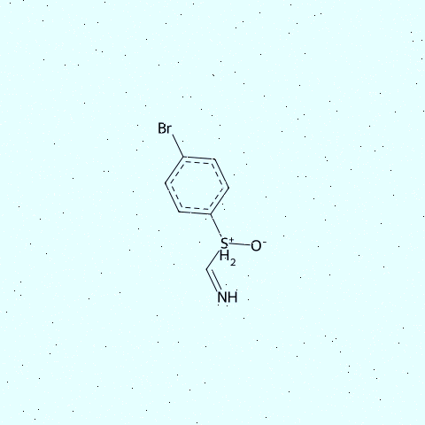 N=C[SH2+]([O-])c1ccc(Br)cc1